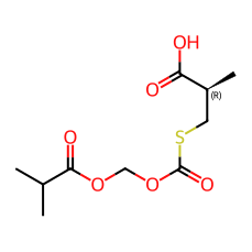 CC(C)C(=O)OCOC(=O)SC[C@H](C)C(=O)O